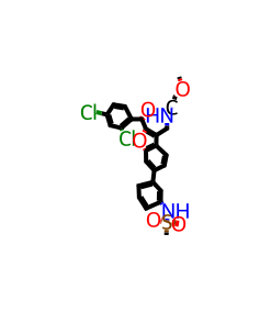 COCCNCc1c(C(=O)c2ccc(Cl)cc2Cl)oc2cc(-c3cccc(NS(C)(=O)=O)c3)ccc12